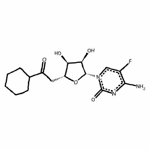 Nc1nc(=O)n([C@@H]2O[C@H](CC(=O)C3CCCCC3)[C@@H](O)[C@H]2O)cc1F